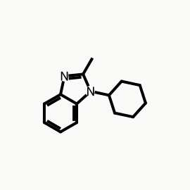 Cc1nc2ccccc2n1C1CCCCC1